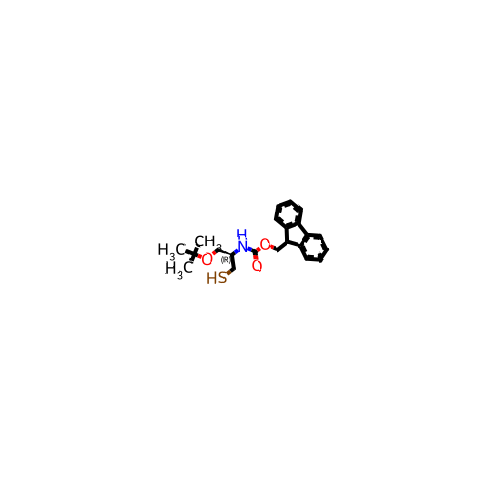 CC(C)(C)OC[C@H](CS)NC(=O)OCC1c2ccccc2-c2ccccc21